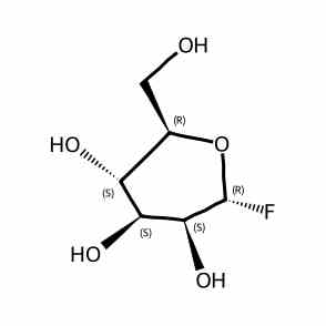 OC[C@H]1O[C@H](F)[C@@H](O)[C@@H](O)[C@@H]1O